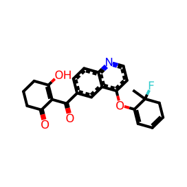 CC1(F)CC=CC=C1Oc1ccnc2ccc(C(=O)C3=C(O)CCCC3=O)cc12